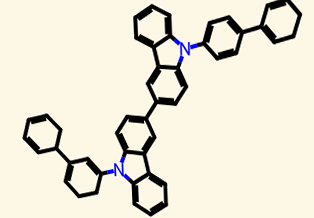 C1=CCC(C2=CCCC(n3c4ccccc4c4cc(-c5ccc6c(c5)c5ccccc5n6-c5ccc(C6=CCCC=C6)cc5)ccc43)=C2)C=C1